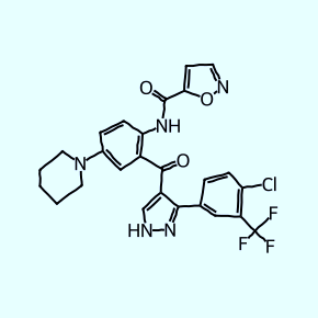 O=C(Nc1ccc(N2CCCCC2)cc1C(=O)c1c[nH]nc1-c1ccc(Cl)c(C(F)(F)F)c1)c1ccno1